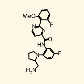 COc1cccc(F)c1-c1nccc(C(=O)Nc2cc(F)ccc2N2CCCC2CN)n1